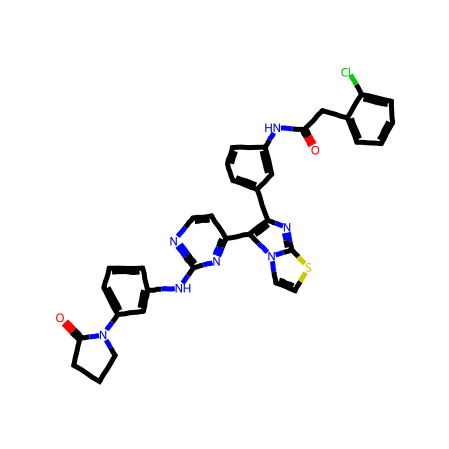 O=C(Cc1ccccc1Cl)Nc1cccc(-c2nc3sccn3c2-c2ccnc(Nc3cccc(N4CCCC4=O)c3)n2)c1